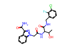 CC(O)C(NC(=O)Cn1nc(C(N)=O)c2ccccc21)C(=O)NCc1cccc(Cl)c1F